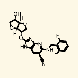 N#Cc1cc2[nH]c(O[C@@H]3CO[C@H]4[C@@H]3OC[C@H]4O)nc2nc1NCc1c(F)cccc1F